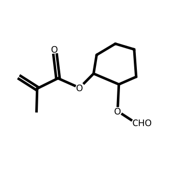 C=C(C)C(=O)OC1CCCCC1OC=O